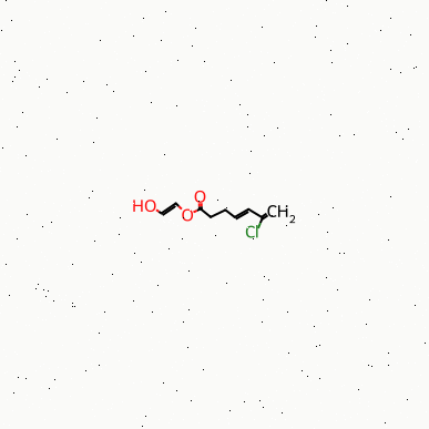 C=C(Cl)C=CCCC(=O)OC=CO